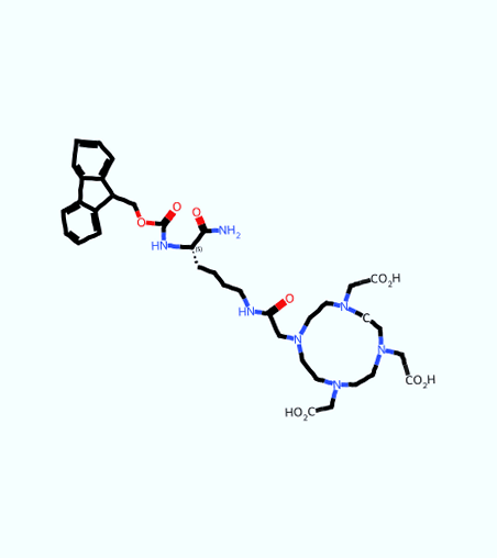 NC(=O)[C@H](CCCCNC(=O)CN1CCN(CC(=O)O)CCN(CC(=O)O)CCN(CC(=O)O)CC1)NC(=O)OCC1c2ccccc2-c2ccccc21